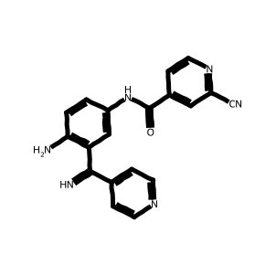 N#Cc1cc(C(=O)Nc2ccc(N)c(C(=N)c3ccncc3)c2)ccn1